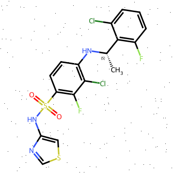 C[C@H](Nc1ccc(S(=O)(=O)Nc2cscn2)c(F)c1Cl)c1c(F)cccc1Cl